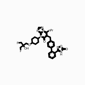 CCCc1c(Cc2ccc(-c3ccccc3-c3noc(=O)[nH]3)cc2)c(=O)n(C2CCC(OCC(O)(CF)CF)CC2)c2ncnn12